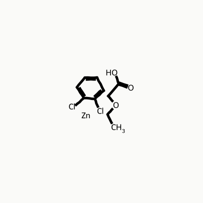 CCOCC(=O)O.Clc1ccccc1Cl.[Zn]